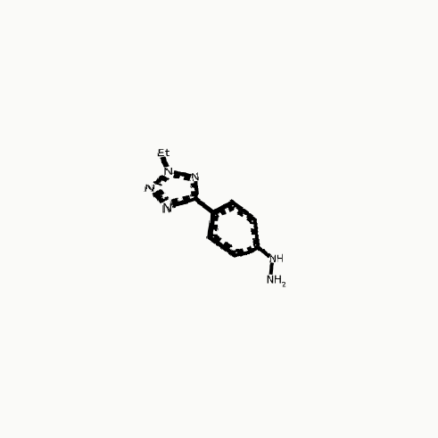 CCn1nnc(-c2ccc(NN)cc2)n1